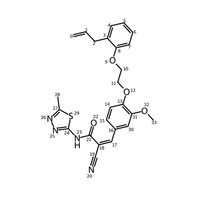 C=CCc1ccccc1OCCOc1ccc(C=C(C#N)C(=O)Nc2nnc(C)s2)cc1OC